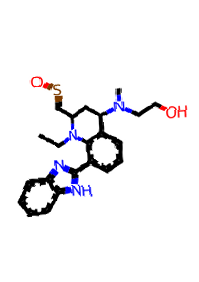 CCN1c2c(-c3nc4ccccc4[nH]3)cccc2C(N(C)CCO)CC1C=S=O